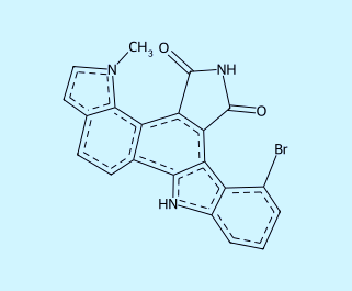 Cn1ccc2ccc3c4[nH]c5cccc(Br)c5c4c4c(c3c21)C(=O)NC4=O